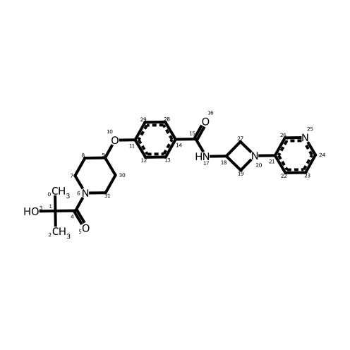 CC(C)(O)C(=O)N1CCC(Oc2ccc(C(=O)NC3CN(c4cccnc4)C3)cc2)CC1